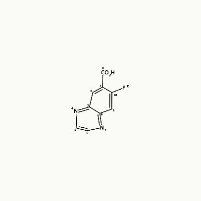 O=C(O)c1cc2nccnc2cc1F